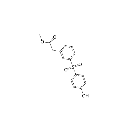 COC(=O)Cc1cccc(S(=O)(=O)c2ccc(O)cc2)c1